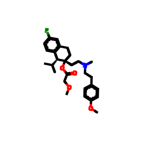 COCC(=O)O[C@@]1(CCN(C)CCc2ccc(OC)cc2)CCc2cc(F)ccc2[C@H]1C(C)C